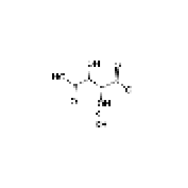 O=C([O-])C(O)C(O)C(=O)O.[K+].[KH]